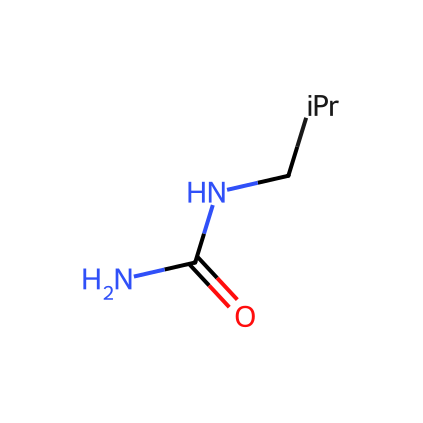 CC(C)CNC(N)=O